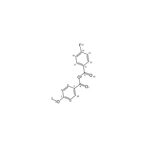 COc1ccc(C(=O)OC(=O)c2ccc(F)cc2)cc1